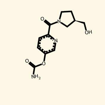 NC(=O)Oc1ccc(C(=O)N2CC[C@@H](CO)C2)nc1